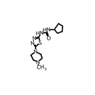 CN1CCN(c2nnc(NC(=O)NC3CCCC3)s2)CC1